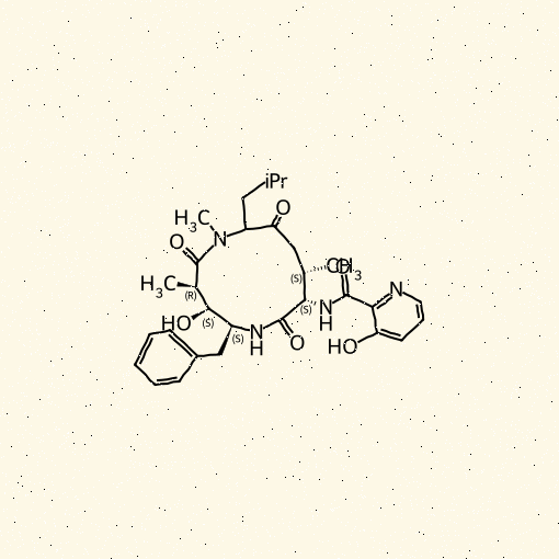 CC(C)CC1C(=O)C[C@H](C)[C@H](NC(=O)c2ncccc2O)C(=O)N[C@@H](Cc2ccccc2)[C@@H](O)[C@@H](C)C(=O)N1C